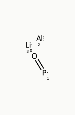 O=[P].[Al].[Li]